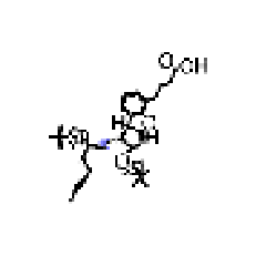 CC#CC[C@H](C)C(/C=C/[C@H]1C(O[Si](C)(C)C(C)(C)C)C[C@@H]2Oc3c(CCCC(=O)O)cccc3[C@@H]21)O[Si](C)(C)C(C)(C)C